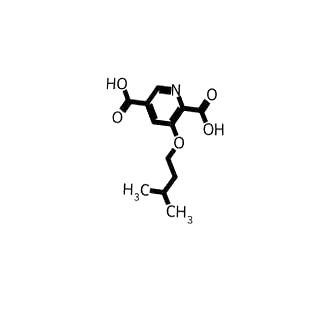 CC(C)CCOc1cc(C(=O)O)cnc1C(=O)O